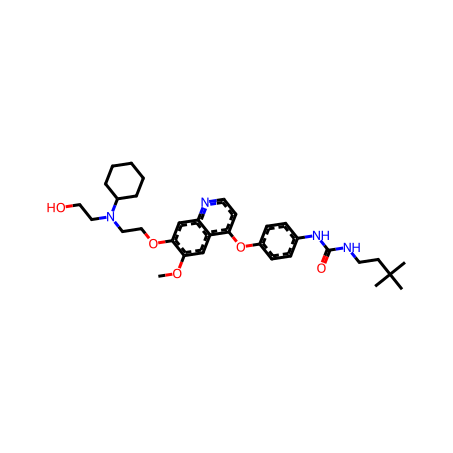 COc1cc2c(Oc3ccc(NC(=O)NCCC(C)(C)C)cc3)ccnc2cc1OCCN(CCO)C1CCCCC1